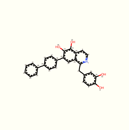 Oc1ccc(Cc2nccc3c(O)c(O)c(-c4ccc(-c5ccccc5)cc4)cc23)cc1O